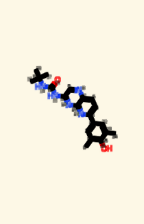 Cc1cc(-c2ccc3ncc(NC(=O)NC(C)(C)C)nc3n2)cc(C)c1O